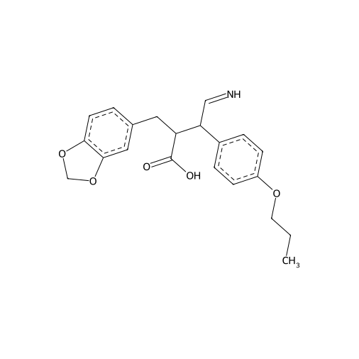 CCCOc1ccc(C(C=N)C(Cc2ccc3c(c2)OCO3)C(=O)O)cc1